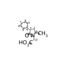 C[C@H]1CC(c2ccccc2)C(=O)N1CC(=O)O